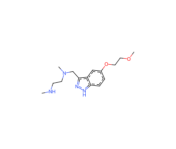 CNCCN(C)Cc1n[nH]c2ccc(OCCOC)cc12